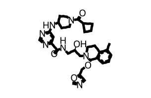 Cc1cccc2c1CCN(C[C@@H](O)CNC(=O)c1cc(NC3CCN(C(=O)C4CCC4)CC3)ncn1)C2OCc1cnco1